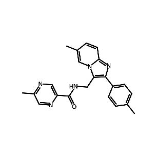 Cc1ccc(-c2nc3ccc(C)cn3c2CNC(=O)c2cnc(C)cn2)cc1